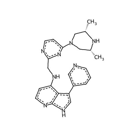 C[C@@H]1CN(c2ccnc(CNc3ccnc4[nH]cc(-c5cccnc5)c34)n2)C[C@H](C)N1